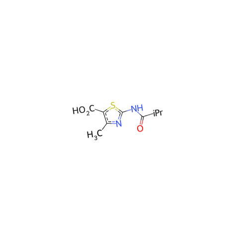 Cc1nc(NC(=O)C(C)C)sc1C(=O)O